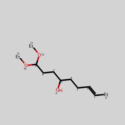 CCC=CCCC(O)CCC(OCC)OCC